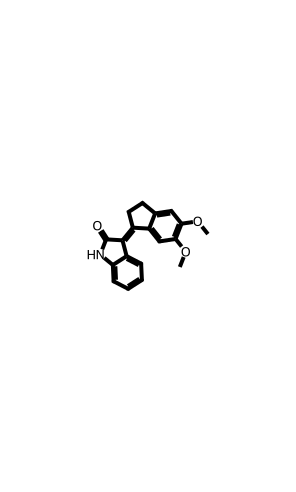 COc1cc2c(cc1OC)/C(=C1/C(=O)Nc3ccccc31)CC2